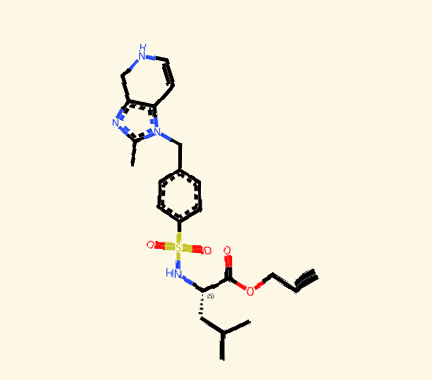 C=CCOC(=O)[C@H](CC(C)C)NS(=O)(=O)c1ccc(Cn2c(C)nc3c2C=CNC3)cc1